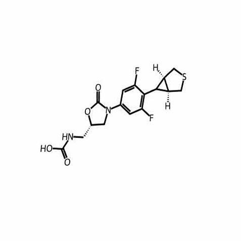 O=C(O)NC[C@H]1CN(c2cc(F)c(C3[C@H]4CSC[C@@H]34)c(F)c2)C(=O)O1